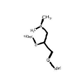 CCCCCCCCCCOCC(CN(C)C)OCCCCCCCCCC